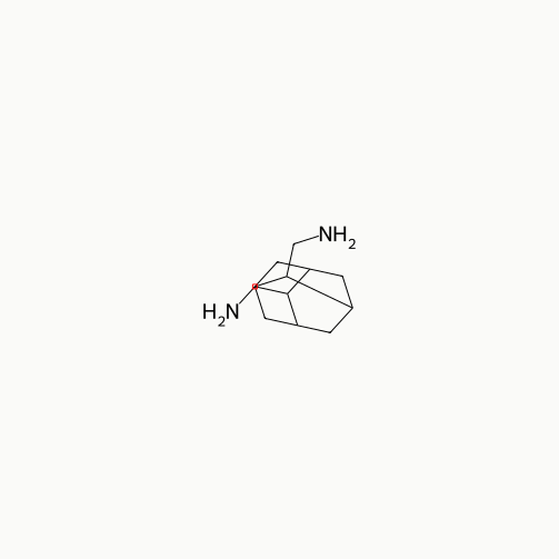 NCC1C2CC3CC1CC(C2)C3CN